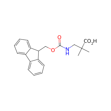 CC(C)(CNC(=O)OCC1c2ccccc2-c2ccccc21)C(=O)O